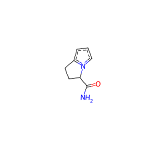 NC(=O)C1CCc2cccn21